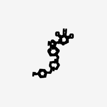 O=c1ccn(-c2cnn3ccc(CN4CCN(Cc5ccc(F)cc5)CC4)cc23)c(=O)[nH]1